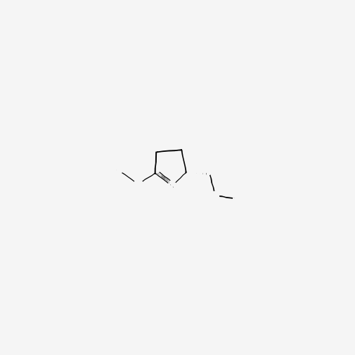 COC[C@H]1CCC(OC)=N1